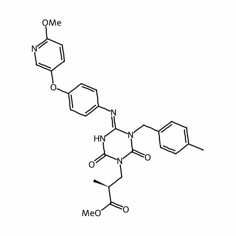 COC(=O)[C@@H](C)Cn1c(=O)[nH]/c(=N\c2ccc(Oc3ccc(OC)nc3)cc2)n(Cc2ccc(C)cc2)c1=O